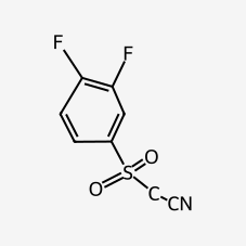 N#CCS(=O)(=O)c1ccc(F)c(F)c1